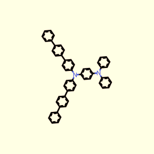 c1ccc(-c2ccc(-c3ccc(N(c4ccc(-c5ccc(-c6ccccc6)cc5)cc4)c4ccc(N(c5ccccc5)c5ccccc5)cc4)cc3)cc2)cc1